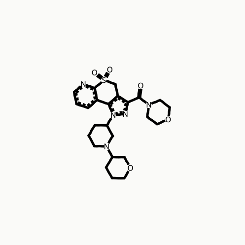 O=C(c1nn(C2CCCN(C3CCCOC3)C2)c2c1CS(=O)(=O)c1ncccc1-2)N1CCOCC1